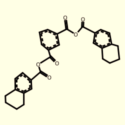 O=C(OC(=O)c1ccc2c(c1)CCCC2)c1cccc(C(=O)OC(=O)c2ccc3c(c2)CCCC3)c1